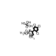 COP(=O)(OC)O/C(=C\Cl)c1cc(Cl)c(Cl)cc1Cl.O=P(O)(O)S